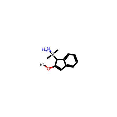 CCOC1=Cc2ccccc2C1[Si](C)(C)N